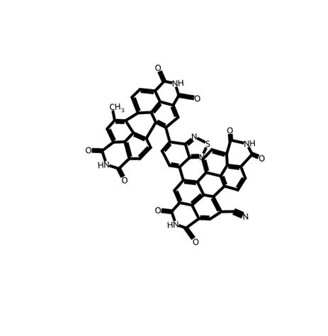 Cc1cc2c3c(ccc4c5c(-c6ccc(-c7cc8c9c(cc(C#N)c%10c%11ccc%12c%13c(ccc(c7c9%10)c%13%11)C(=O)NC%12=O)C(=O)NC8=O)c7nsnc67)cc6c7c(ccc(c1c34)c75)C(=O)NC6=O)C(=O)NC2=O